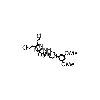 COc1cc(OC)cc(N2CCN(C(=O)Nc3nc(CCCl)c(CCCl)nc3OC)CC2)c1